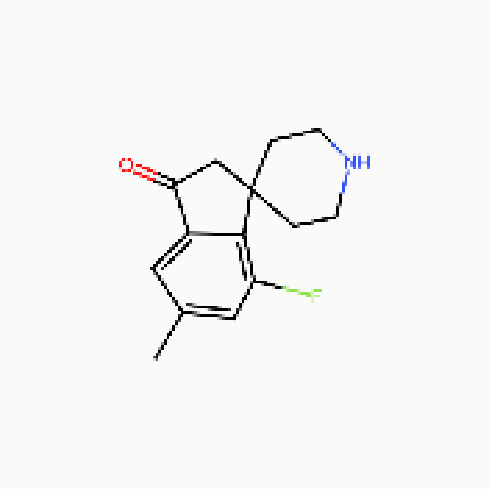 Cc1cc(F)c2c(c1)C(=O)CC21CCNCC1